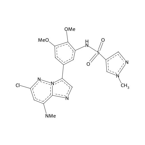 CNc1cc(Cl)nn2c(-c3cc(NS(=O)(=O)c4cnn(C)c4)c(OC)c(OC)c3)cnc12